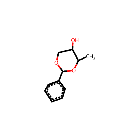 CC1OC(c2ccccc2)OCC1O